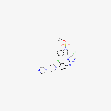 CN1CCN(C2CCN(c3ccc(Nc4ncc(Cl)c(-c5cn(S(=O)(=O)OC6CC6)c6ccccc56)n4)cc3Cl)CC2)CC1